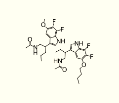 CCCC(CNC(C)=O)c1c[nH]c2c(F)c(F)c(OC)cc12.CCCCOc1cc2c(C(CC)CNC(C)=O)c[nH]c2c(F)c1F